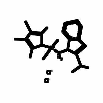 CC1=C(C)[CH]([Zr]([CH3])([CH3])[SiH2]C2C(C(C)C)=Cc3ccccc32)C(C)=C1C.[Cl-].[Cl-]